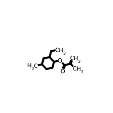 C=C(C)C(=O)OC1CCC(C)CC1CC